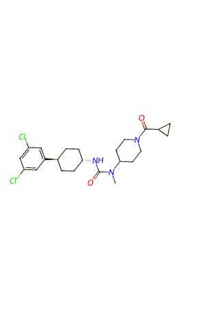 CN(C(=O)N[C@H]1CC[C@H](c2cc(Cl)cc(Cl)c2)CC1)C1CCN(C(=O)C2CC2)CC1